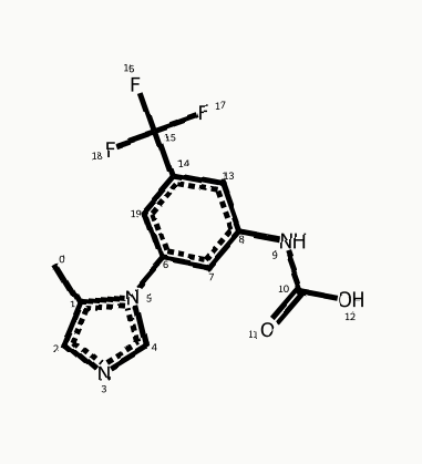 Cc1cncn1-c1cc(NC(=O)O)cc(C(F)(F)F)c1